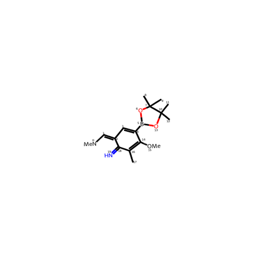 CN/C=C1/C=C(B2OC(C)(C)C(C)(C)O2)C(OC)=C(C)C1=N